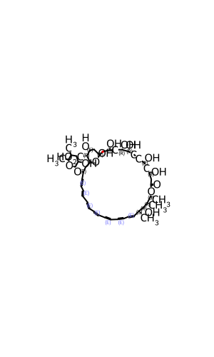 CC1CC(O)C(O[C@H]2/C=C/C=C/C=C/C=C/C=C/C=C/C=C/[C@H](C)[C@@H](O)[C@@H](C)[C@H](C)OC(=O)C[C@H](O)C[C@H](O)CC[C@@H](O)[C@H](O)C[C@H](O)C[C@]3(O)C[C@H](O)[C@@H](C(=O)O)C(C2)O3)OC1C